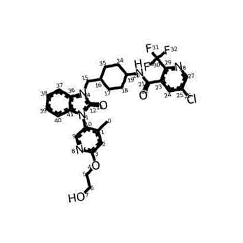 Cc1cc(OCCO)ncc1-n1c(=O)n(CC2CCC(NC(=O)c3cc(Cl)cnc3C(F)(F)F)CC2)c2ccccc21